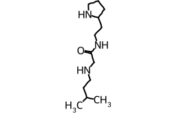 CC(C)CCNCC(=O)NCCC1CCCN1